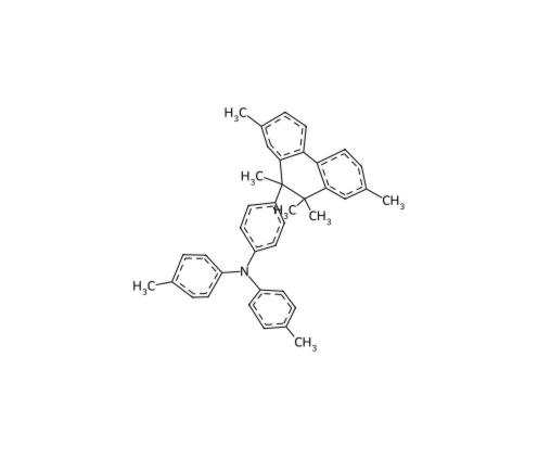 Cc1ccc(N(c2ccc(C)cc2)c2ccc(C3(C)c4cc(C)ccc4-c4ccc(C)cc4C3(C)C)cc2)cc1